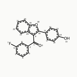 O=C(c1cccc(F)c1)c1c(-c2ccc(O)cc2)oc2ccccc12